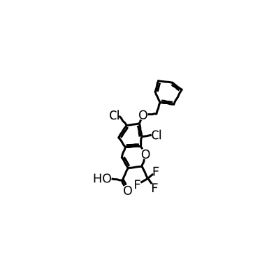 O=C(O)C1=Cc2cc(Cl)c(OCc3ccccc3)c(Cl)c2OC1C(F)(F)F